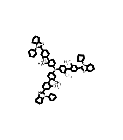 Cc1cc(-c2nc3ccccc3n2-c2ccccc2)ccc1-c1ccc(N(c2ccc(-c3ccc(-c4nc5ccccc5n4-c4ccccc4)cc3C)c(C)c2)c2ccc(-c3ccc(-c4nc5ccccc5n4-c4ccccc4)cc3C)c(C)c2)cc1C